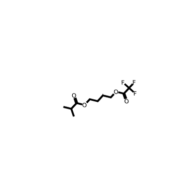 CC(C)C(=O)OCC[CH]COC(=O)C(F)(F)F